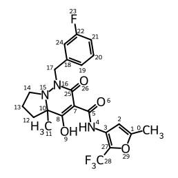 Cc1cc(NC(=O)C2=C(O)C3(C)CCCN3N(Cc3cccc(F)c3)C2=O)c(C(F)(F)F)o1